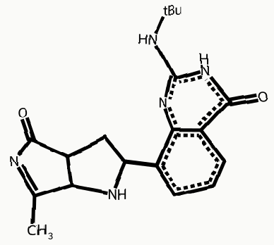 CC1=NC(=O)C2CC(c3cccc4c(=O)[nH]c(NC(C)(C)C)nc34)NC12